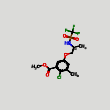 COC(=O)c1cc(OC[C@H](C)NS(=O)(=O)C(F)(F)F)cc(C)c1Cl